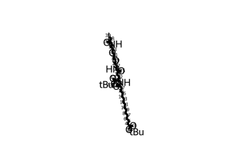 CC(C)(C)OC(=O)CCCCCCCCCCCCCCC(=O)NC(CCC(=O)NCCOCCOCCNC(=O)CI)C(=O)OC(C)(C)C